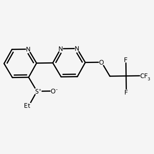 CC[S+]([O-])c1cccnc1-c1ccc(OCC(F)(F)C(F)(F)F)nn1